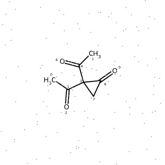 CC(=O)C1(C(C)=O)CC1=O